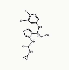 O=C(Nc1cocc1/C(=N/O)Nc1ccc(F)c(Br)c1)NC1CC1